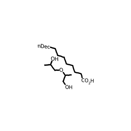 CC(O)COC(C)CO.CCCCCCCCCCCCCCCCCC(=O)O